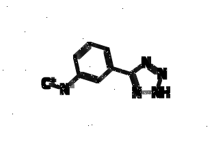 [CH2+][N-]c1cccc(-c2nn[nH]n2)c1